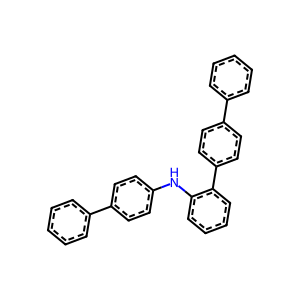 c1ccc(-c2ccc(Nc3ccccc3-c3ccc(-c4ccccc4)cc3)cc2)cc1